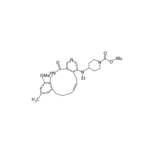 CCN(c1cncc2c1CC=CCCCc1cc(C)cc(OC)c1CNC2=O)C1CCN(C(=O)OC(C)(C)C)CC1